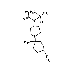 COC1CCC(C)(N2CCC(N(C(=O)O)C(C)(C)C)CC2)CC1